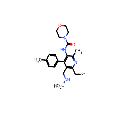 Cc1ccc(-c2c(CNC(=O)O)c(CC(C)C)nc(C)c2NC(=O)N2CCOCC2)cc1